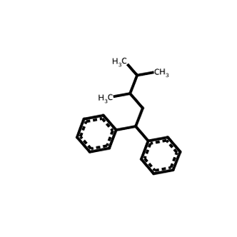 C[C](C)C(C)CC(c1ccccc1)c1ccccc1